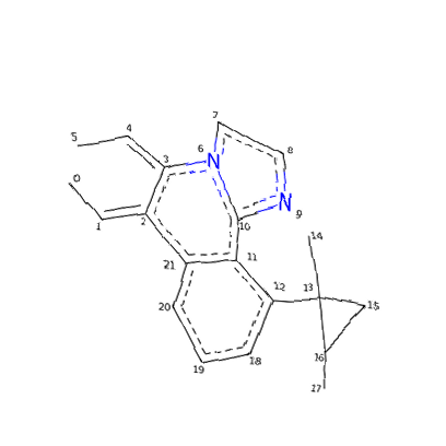 C/C=c1\c(=C/C)n2ccnc2c2c(C3(C)CC3C)cccc12